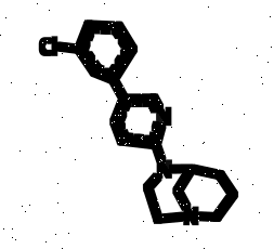 Clc1cccc(-c2ccc(N3CCN4CCCC3C4)nc2)c1